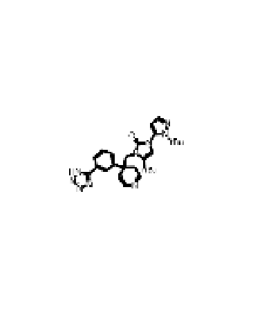 CCCCc1cn(-c2ccnn2C(C)(C)C)c(=O)n1CC1(c2cccc(-c3nnn[nH]3)c2)C=CN=CC1